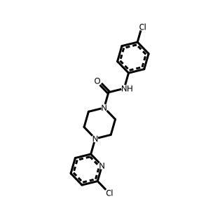 O=C(Nc1ccc(Cl)cc1)N1CCN(c2cccc(Cl)n2)CC1